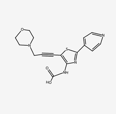 O=C(O)Nc1nc(-c2ccncc2)sc1C#CCN1CCOCC1